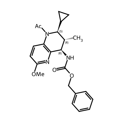 COc1ccc2c(n1)[C@H](NC(=O)OCc1ccccc1)[C@@H](C)[C@H](C1CC1)N2C(C)=O